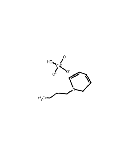 CCCCN1C=CC=CC1.[O-][Cl+3]([O-])([O-])O